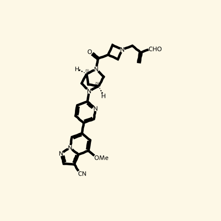 C=C(C=O)CN1CC(C(=O)N2C[C@@H]3C[C@H]2CN3c2ccc(-c3cc(OC)c4c(C#N)cnn4c3)cn2)C1